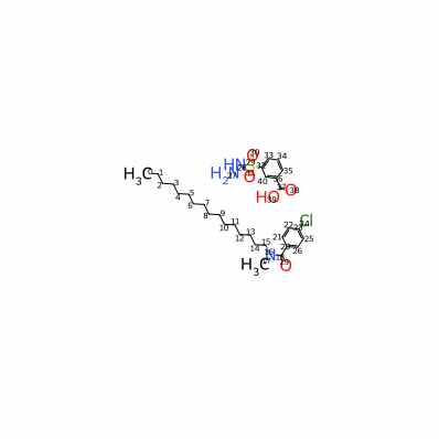 CCCCCCCCCCCCCCCCN(C)C(=O)c1ccc(Cl)cc1.NNS(=O)(=O)c1cccc(C(=O)O)c1